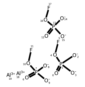 O=P([O-])([O-])OF.O=P([O-])([O-])OF.O=P([O-])([O-])OF.[Al+3].[Al+3]